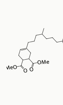 COC(=O)C1CC=C(CCCC(C)CCCC(C)C)CC1C(=O)OC